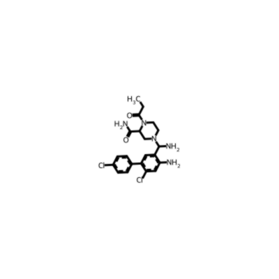 CCC(=O)N1CCN(C(N)c2cc(-c3ccc(Cl)cc3)c(Cl)cc2N)CC1C(N)=O